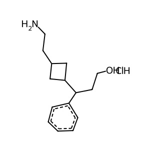 Cl.NCCC1CC(C(CCO)c2ccccc2)C1